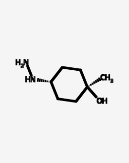 C[C@]1(O)CC[C@H](NN)CC1